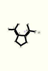 CC(C)=C1CCC/C1=C(/C)F